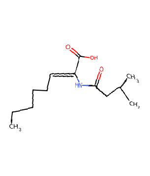 CCCCC/C=C(\NC(=O)CC(C)C)C(=O)O